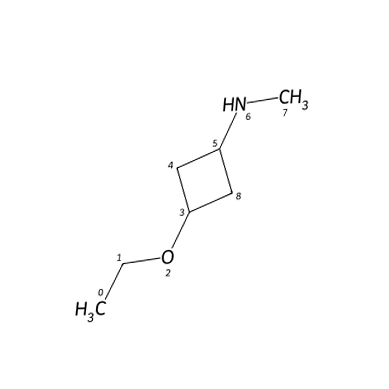 CCOC1CC(NC)C1